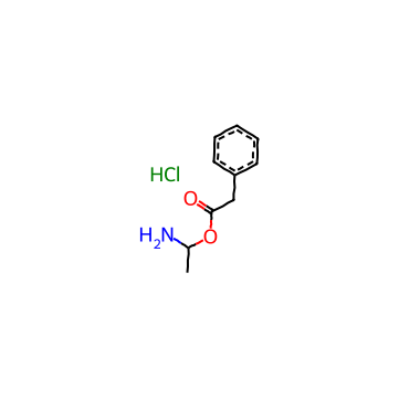 CC(N)OC(=O)Cc1ccccc1.Cl